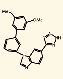 COc1cc(OC)cc(-c2cccc(-n3cnc4ccc(-c5nn[nH]n5)cc43)c2)c1